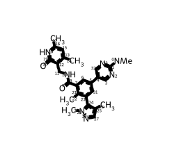 CNc1ncc(-c2cc(C(=O)NCc3c(C)cc(C)[nH]c3=O)c(C)c(-c3c(C)cnn3C)c2)cn1